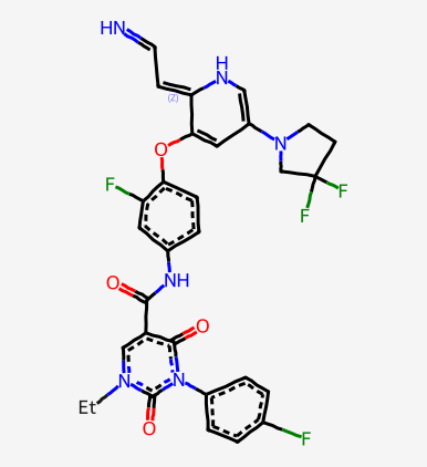 CCn1cc(C(=O)Nc2ccc(OC3=CC(N4CCC(F)(F)C4)=CN/C3=C\C=N)c(F)c2)c(=O)n(-c2ccc(F)cc2)c1=O